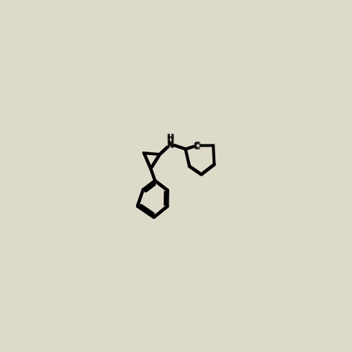 c1ccc(C2CC2NC2CCCCC2)cc1